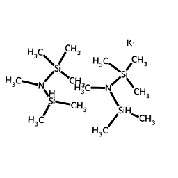 CN([SiH](C)C)[Si](C)(C)C.CN([SiH](C)C)[Si](C)(C)C.[K]